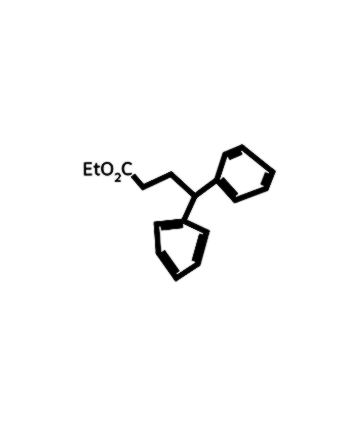 CCOC(=O)CCC(c1ccccc1)c1ccccc1